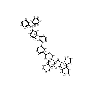 c1cc(-c2cccc3c2sc2ccc(-n4c5ccccc5c5ccccc54)cc23)cc(C2CCC3C(C2)C2CCCCC2C2CC4C5CCCCC5C5CCCCC5C4CC32)c1